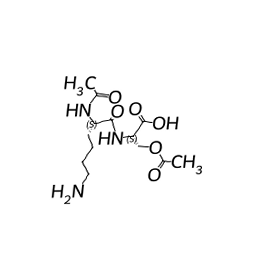 CC(=O)N[C@@H](CCCCN)C(=O)N[C@@H](COC(C)=O)C(=O)O